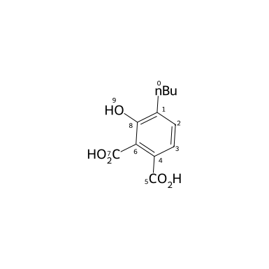 CCCCc1ccc(C(=O)O)c(C(=O)O)c1O